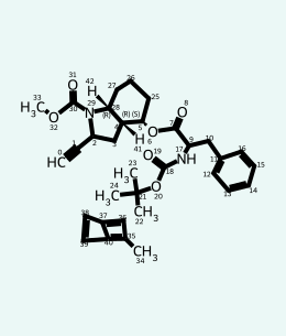 C#CC1C[C@H]2[C@@H](OC(=O)C(Cc3ccccc3)NC(=O)OC(C)(C)C)CCC[C@H]2N1C(=O)OC.Cc1cc2ccc1-2